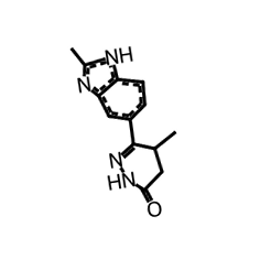 Cc1nc2cc(C3=NNC(=O)CC3C)ccc2[nH]1